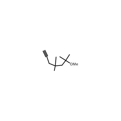 C#CCC(C)(C)CC(C)(C)OC